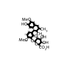 COc1cc(CC(C)C(C)Cc2ccc(OC)c(O[C@@H]3O[C@H](C(=O)O)[C@@H](O)[C@H](O)[C@H]3O)c2)ccc1O